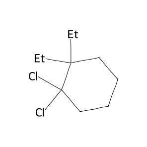 CCC1(CC)CCCCC1(Cl)Cl